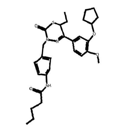 CCCCC(=O)Nc1ccc(CN2N=C(c3ccc(OC)c(OC4CCCC4)c3)C(CC)SC2=O)cc1